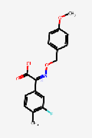 COc1ccc(CO/N=C(\C(=O)O)c2ccc(C)c(F)c2)cc1